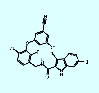 N#Cc1cc(Cl)cc(Oc2c(Cl)ccc(CNC(=O)c3[nH]c4cc(Cl)ccc4c3Cl)c2F)c1